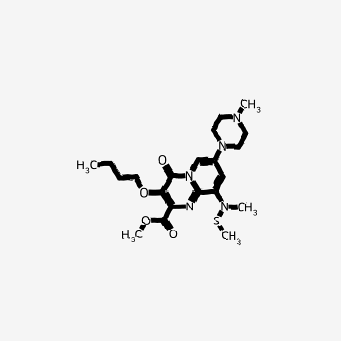 CCCCOc1c(C(=O)OC)nc2c(N(C)SC)cc(N3CCN(C)CC3)cn2c1=O